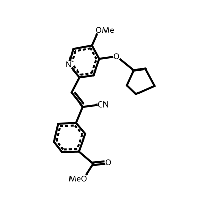 COC(=O)c1cccc(/C(C#N)=C/c2cc(OC3CCCC3)c(OC)cn2)c1